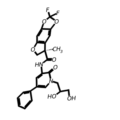 C[C@]1(C(=O)Nc2cc(-c3ccccc3)cn(CC(O)CO)c2=O)COc2cc3c(cc21)OC(F)(F)O3